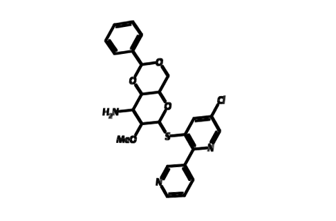 COC1C(Sc2cc(Cl)cnc2-c2cccnc2)OC2COC(c3ccccc3)OC2C1N